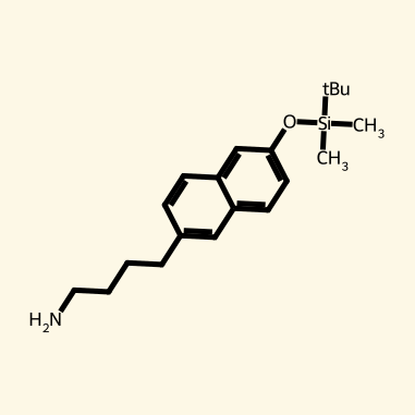 CC(C)(C)[Si](C)(C)Oc1ccc2cc(CCCCN)ccc2c1